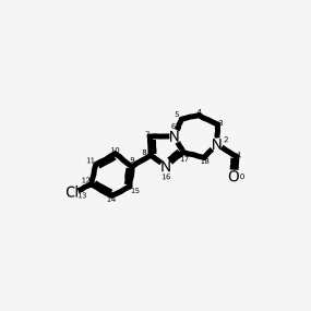 O=CN1CCCn2cc(-c3ccc(Cl)cc3)nc2C1